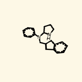 c1ccc(N(CC2Cc3ccccc3C2)C2CCCN2)cc1